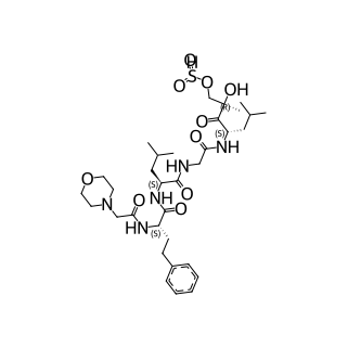 CC(C)C[C@H](NC(=O)[C@H](CCc1ccccc1)NC(=O)CN1CCOCC1)C(=O)NCC(=O)N[C@@H](CC(C)C)C(=O)[C@](C)(O)CO[SH](=O)=O